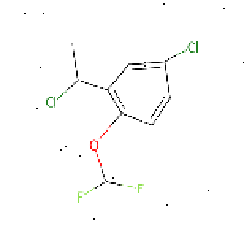 CC(Cl)c1cc(Cl)ccc1OC(F)F